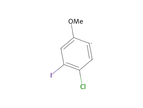 COc1[c]cc(Cl)c(I)c1